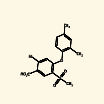 CCc1cc(Oc2ccc(C)cc2C)c(S(C)(=O)=O)cc1C(=O)O